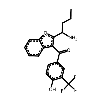 CCCC(N)c1oc2ccccc2c1C(=O)c1ccc(O)c(C(F)(F)F)c1